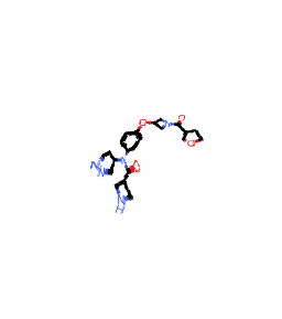 O=C(C1CCOC1)N1CC(Oc2ccc(N(C(=O)C3CNC3)c3ccnnc3)cc2)C1